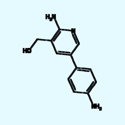 Nc1ccc(-c2cnc(N)c(CO)c2)cc1